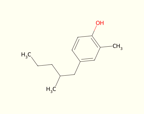 CCCC(C)Cc1ccc(O)c(C)c1